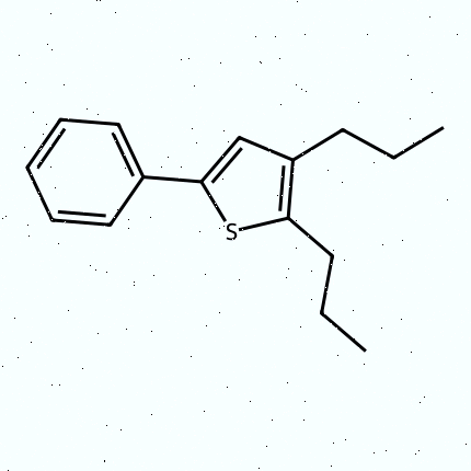 CCCc1cc(-c2ccccc2)sc1CCC